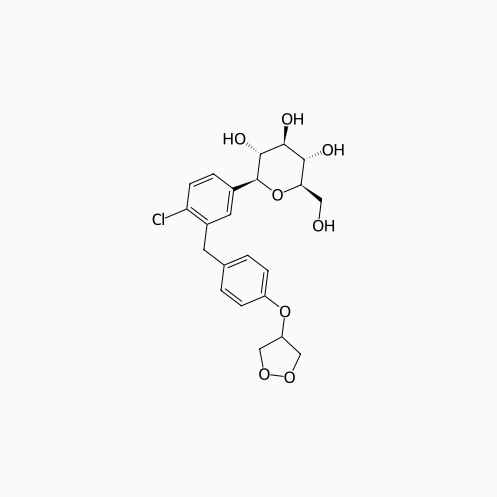 OC[C@H]1O[C@@H](c2ccc(Cl)c(Cc3ccc(OC4COOC4)cc3)c2)[C@H](O)[C@@H](O)[C@@H]1O